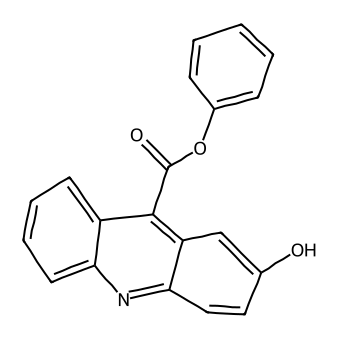 O=C(Oc1ccccc1)c1c2ccccc2nc2ccc(O)cc12